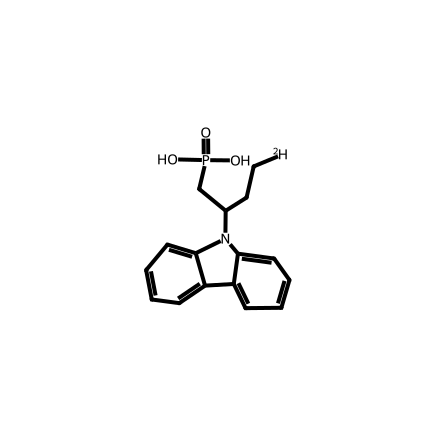 [2H]CCC(CP(=O)(O)O)n1c2ccccc2c2ccccc21